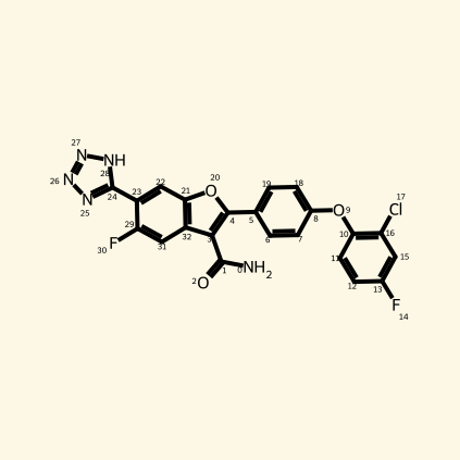 NC(=O)c1c(-c2ccc(Oc3ccc(F)cc3Cl)cc2)oc2cc(-c3nnn[nH]3)c(F)cc12